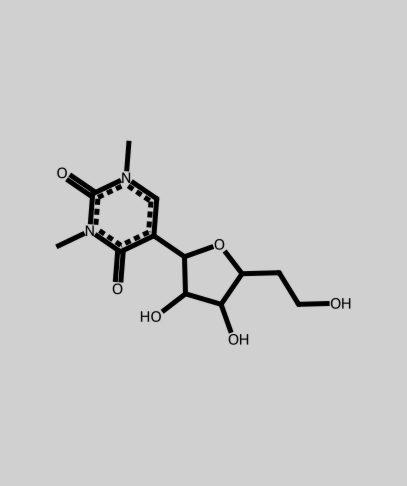 Cn1cc(C2OC(CCO)C(O)C2O)c(=O)n(C)c1=O